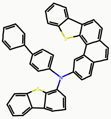 c1ccc(-c2ccc(N(c3ccc4ccc5ccc6c7ccccc7sc6c5c4c3)c3cccc4c3sc3ccccc34)cc2)cc1